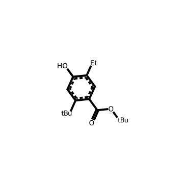 CCc1cc(C(=O)OC(C)(C)C)c(C(C)(C)C)cc1O